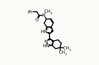 CC(C)CC(=O)N(C)C1C=Cc2cc(-c3n[nH]c4c3CCC(C)(C)C4)[nH]c2C1